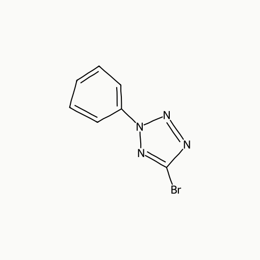 Brc1nnn(-c2ccccc2)n1